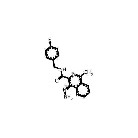 Cn1nc(C(=O)NCc2ccc(F)cc2)/c(=N/N)c2ncccc21